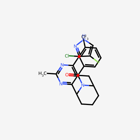 Cc1nc(-c2n[nH]cc2F)c2c(n1)C1CCCC(C2)N1C(=O)c1cccc(C(F)(F)F)c1Cl